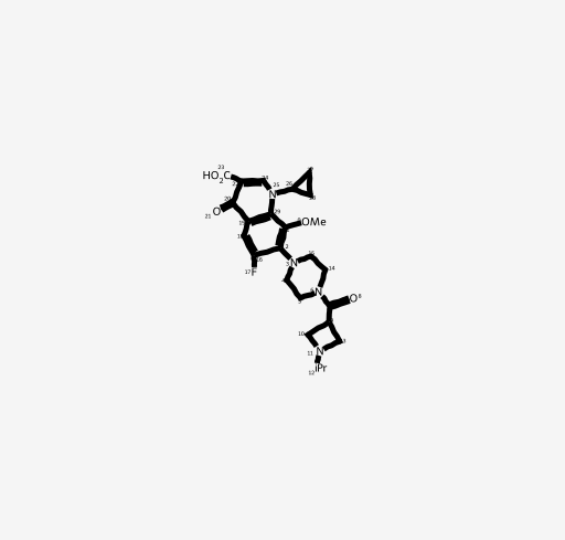 COc1c(N2CCN(C(=O)C3CN(C(C)C)C3)CC2)c(F)cc2c(=O)c(C(=O)O)cn(C3CC3)c12